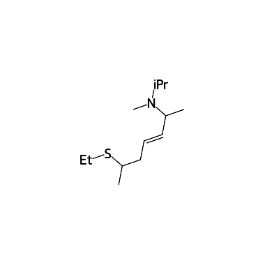 CCSC(C)C/C=C/C(C)N(C)C(C)C